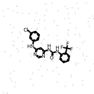 O=C(Nc1cc(Nc2cccc(Cl)c2)ncn1)Nc1ccccc1C(F)(F)F